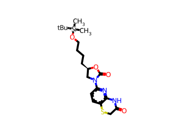 CC(C)(C)[Si](C)(C)OCCCC[C@@H]1CN(c2ccc3c(n2)NC(=O)CS3)C(=O)O1